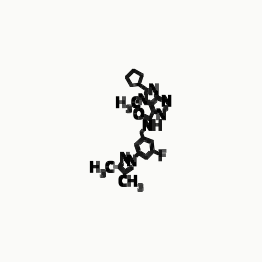 Cc1cn(-c2cc(F)cc(CNC(=O)c3ncnc4nc(C5CCCC5)n(C)c34)c2)nc1C